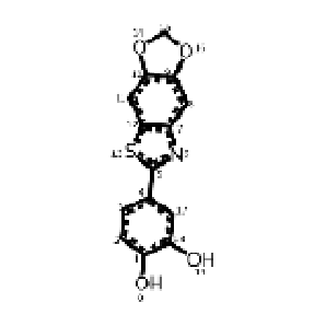 Oc1ccc(-c2nc3cc4c(cc3s2)OCO4)cc1O